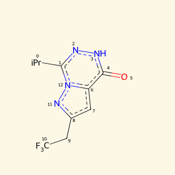 CC(C)c1n[nH]c(=O)c2cc(CC(F)(F)F)nn12